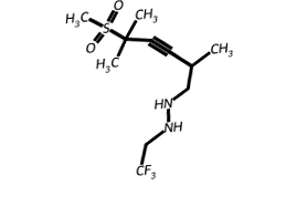 CC(C#CC(C)(C)S(C)(=O)=O)CNNCC(F)(F)F